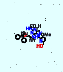 CCC[C@@H](CCO[Si](c1ccccc1)(c1ccccc1)C(C)(C)C)Nc1nc(NC(=O)O)nc2cnn(Cc3nc(CO)ccc3OC)c12